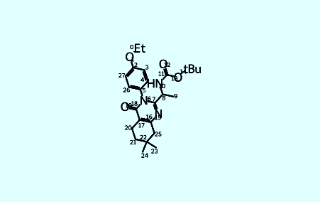 CCOc1ccc(-n2c(C(C)NC(=O)OC(C)(C)C)nc3c(c2=O)CCC(C)(C)C3)cc1